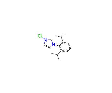 CC(C)c1cccc(C(C)C)c1N1C=CN(Cl)C1